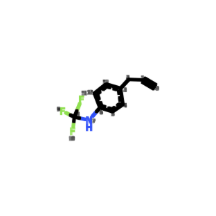 C#CCc1ccc(NC(F)(F)F)cc1